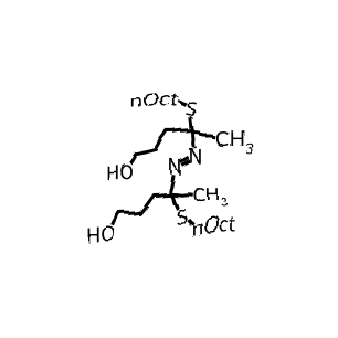 CCCCCCCCSC(C)(CCCO)N=NC(C)(CCCO)SCCCCCCCC